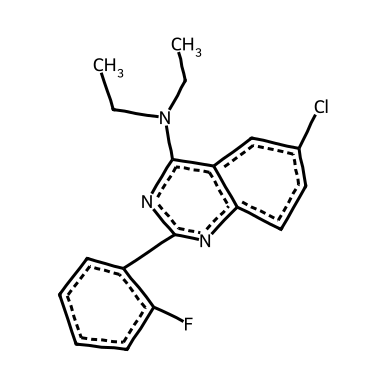 CCN(CC)c1nc(-c2ccccc2F)nc2ccc(Cl)cc12